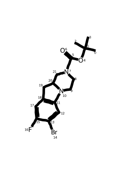 CC(C)(C)OC(=O)N1CCN2c3cc(Br)c(F)cc3CC2C1